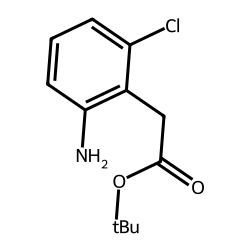 CC(C)(C)OC(=O)Cc1c(N)cccc1Cl